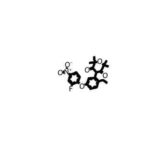 CCc1ccc(Oc2ccc([N+](=O)[O-])cc2F)cc1C1C(=O)C(C)(C)OC(C)(C)C1=O